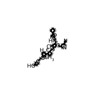 Cc1c(COc2cc(OCc3cncc(C#N)c3)c(CNCc3ncc(-c4ccccc4)o3)cc2Cl)cccc1-c1cccc(OCCCN2CC[C@@H](O)C2)c1C